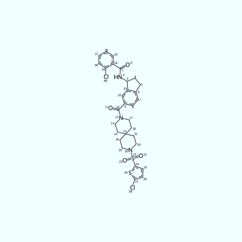 O=C(NC1CCc2ccc(C(=O)N3CCC4(CC3)CCN(S(=O)(=O)c3ccc(Cl)s3)CC4)cc21)c1ccccc1Cl